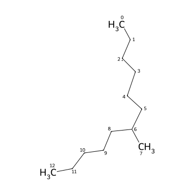 CC[CH]CCCC(C)CCCCC